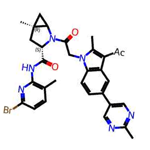 CC(=O)c1c(C)n(CC(=O)N2C3C[C@]3(C)C[C@H]2C(=O)Nc2nc(Br)ccc2C)c2ccc(-c3cnc(C)nc3)cc12